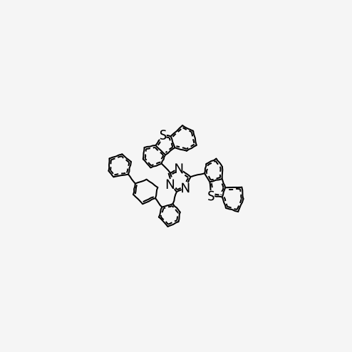 C1=C(c2ccccc2)CCC(c2ccccc2-c2nc(-c3cccc4c3sc3ccccc34)nc(-c3cccc4sc5ccccc5c34)n2)=C1